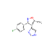 Cc1onc(-c2ccc(F)cc2)c1-c1c[nH]cn1